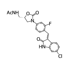 CC(=O)NC[C@H]1CN(c2ccc(C=C3C(=O)Nc4cc(Cl)ccc43)c(F)c2)C(=O)O1